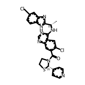 C[C@H](Nc1ncnc2cc(C(=O)N3CCS[C@H]3c3ccncc3)c(Cl)cc12)c1nc2cc(Cl)ccc2[nH]1